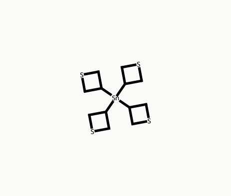 C1SC[CH]1[Sn]([CH]1CSC1)([CH]1CSC1)[CH]1CSC1